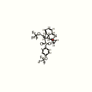 O=S(=O)(c1ccc(OC(F)(F)F)cc1)C1CN(OC(F)(F)F)C2=CC=CC3=NNCC23C1C1CC1